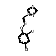 Clc1ccc(ON=Cn2cncn2)c(Cl)c1